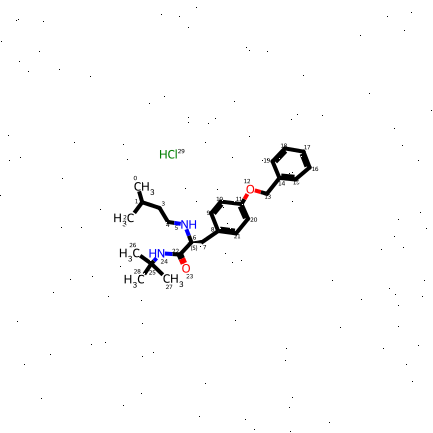 CC(C)CCN[C@@H](Cc1ccc(OCc2ccccc2)cc1)C(=O)NC(C)(C)C.Cl